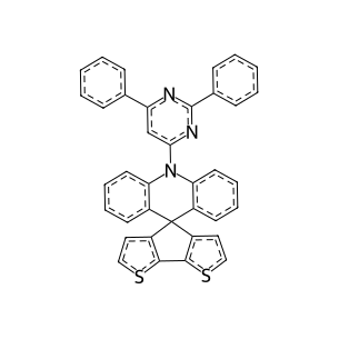 c1ccc(-c2cc(N3c4ccccc4C4(c5ccccc53)c3ccsc3-c3sccc34)nc(-c3ccccc3)n2)cc1